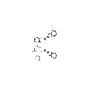 COc1cccc2[nH]c(C(=O)Nc3cccn([C@@H](CC(C)C)C(=O)N[C@@H](C[C@@H]4CCNC4=O)C(=O)c4nc5ccccc5s4)c3=O)cc12